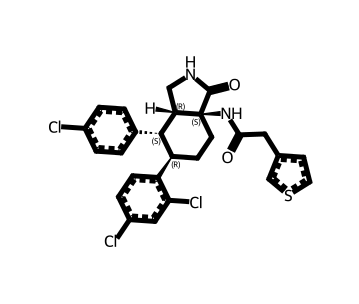 O=C(Cc1ccsc1)N[C@@]12CC[C@@H](c3ccc(Cl)cc3Cl)[C@H](c3ccc(Cl)cc3)[C@@H]1CNC2=O